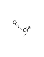 BrCc1cc(CCCOCc2ccccc2)cc(CBr)n1